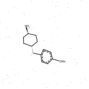 COc1ccc(C[C@H]2CC[C@H](N)CC2)cc1